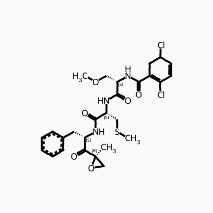 COC[C@H](NC(=O)C1=C(Cl)C=CC(Cl)C1)C(=O)N[C@H](CSC)C(=O)N[C@@H](Cc1ccccc1)C(=O)[C@@]1(C)CO1